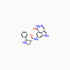 O=C1NN=Cc2c[nH]c3cc(NC(=O)[C@@H]4CCN[C@H]4c4ccccc4)cc1c23